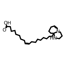 O=C(O)CCCCCCC/C=C\CCCCCCCCC12CCCC=CN1CCCN2